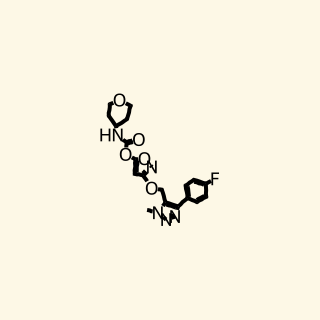 Cn1nnc(-c2ccc(F)cc2)c1COc1cc(OC(=O)NC2CCOCC2)on1